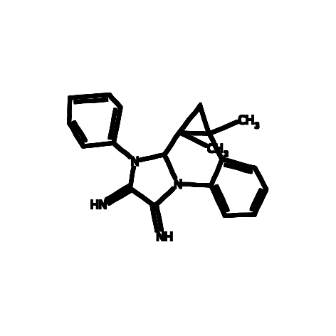 CC12CC1(C)C1N(c3ccccc3)C(=N)C(=N)N1c1ccccc12